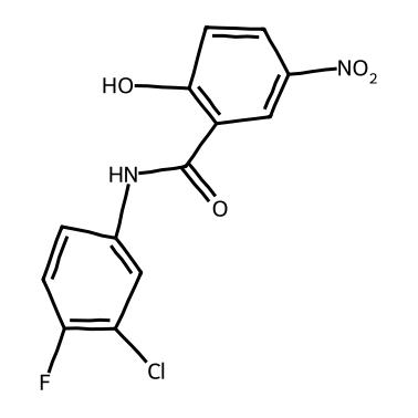 O=C(Nc1ccc(F)c(Cl)c1)c1cc([N+](=O)[O-])ccc1O